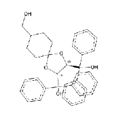 OCC1CCC2(CC1)O[C@@H](C(O)(c1ccccc1)c1ccccc1)[C@H](C(O)(c1ccccc1)c1ccccc1)O2